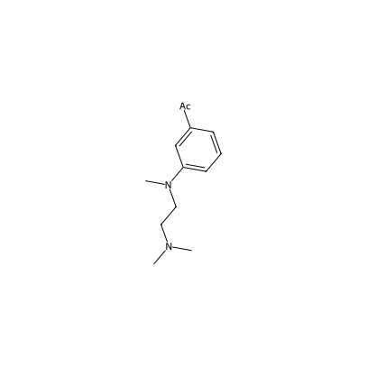 CC(=O)c1cccc(N(C)CCN(C)C)c1